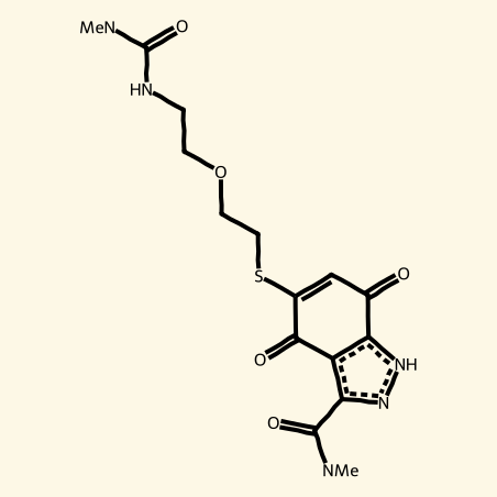 CNC(=O)NCCOCCSC1=CC(=O)c2[nH]nc(C(=O)NC)c2C1=O